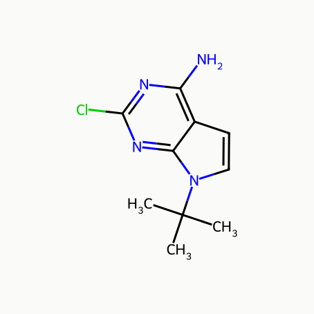 CC(C)(C)n1ccc2c(N)nc(Cl)nc21